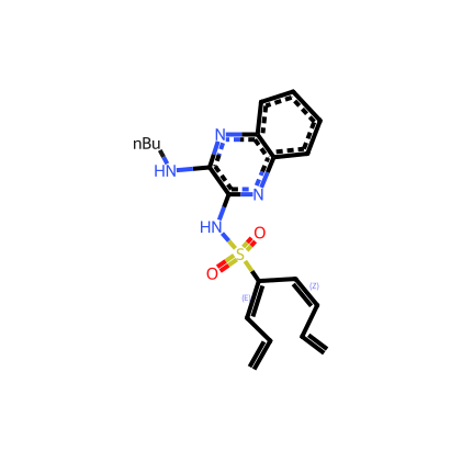 C=C/C=C\C(=C/C=C)S(=O)(=O)Nc1nc2ccccc2nc1NCCCC